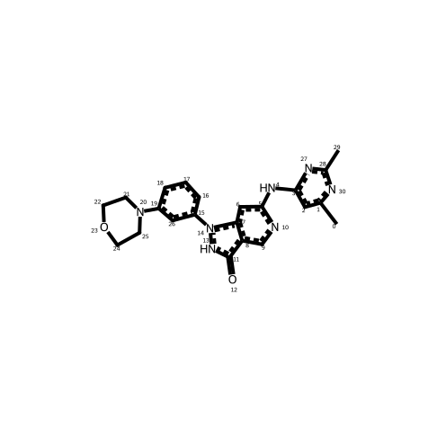 Cc1cc(Nc2cc3c(cn2)c(=O)[nH]n3-c2cccc(N3CCOCC3)c2)nc(C)n1